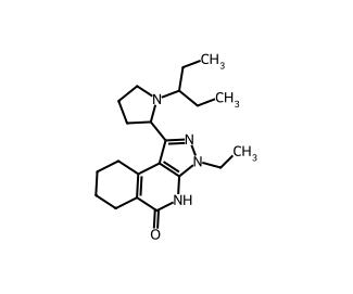 CCC(CC)N1CCCC1c1nn(CC)c2[nH]c(=O)c3c(c12)CCCC3